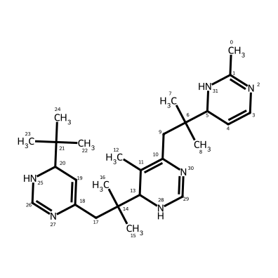 CC1=NC=CC(C(C)(C)CC2=C(C)C(C(C)(C)CC3=CC(C(C)(C)C)NC=N3)NC=N2)N1